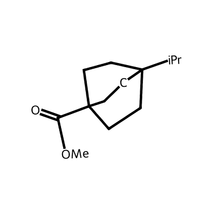 COC(=O)C12CCC(C(C)C)(CC1)CC2